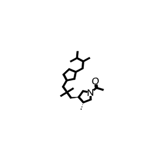 CC(=O)N1C[C@H](CC(C)(C)CC2CCC(CC(C)C(C)C)C2)[C@@H](C)C1